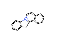 c1ccc2c(c1)Cc1c3ccccc3cc[n+]1-2